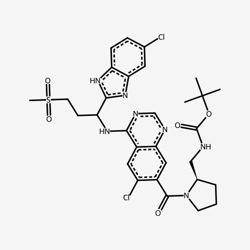 CC(C)(C)OC(=O)NC[C@H]1CCCN1C(=O)c1cc2ncnc(NC(CCS(C)(=O)=O)c3nc4cc(Cl)ccc4[nH]3)c2cc1Cl